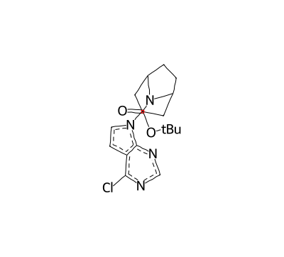 CC(C)(C)OC(=O)N1C2CCC1CC(n1ccc3c(Cl)ncnc31)C2